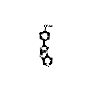 COc1ccc(-c2cn3c(n2)sc2cnccc23)cc1